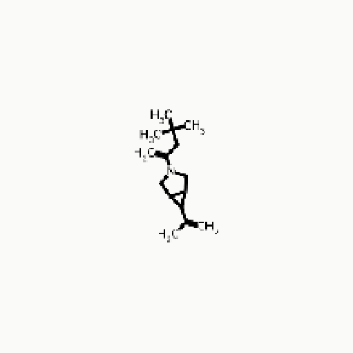 C=C(C)C1C2CN(C(=C)CC(C)(C)C)CC21